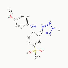 CNS(=O)(=O)c1ccc(Nc2ccc(OC(F)(F)F)cc2)c(-c2nnn(C)n2)c1